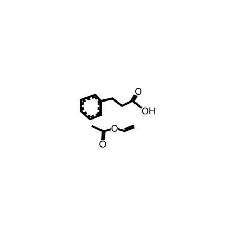 C=COC(C)=O.O=C(O)CCc1ccccc1